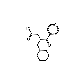 O=C(O)CC(CN1CCCCC1)C(=O)c1ccncc1